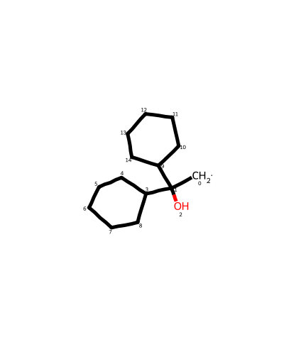 [CH2]C(O)(C1CCCCC1)C1CCCCC1